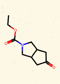 CCOC(=O)N1CC2CC(=O)CC2C1